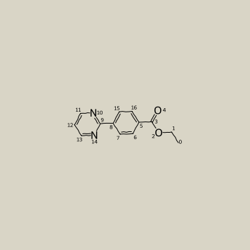 CCOC(=O)c1ccc(-c2ncccn2)cc1